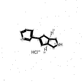 C1=C(c2cccnc2)C[C@H]2CNC[C@@H]12.Cl